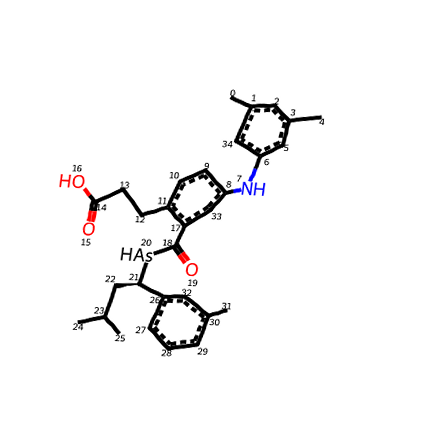 Cc1cc(C)cc(Nc2ccc(CCC(=O)O)c(C(=O)[AsH][C@H](CC(C)C)c3cccc(C)c3)c2)c1